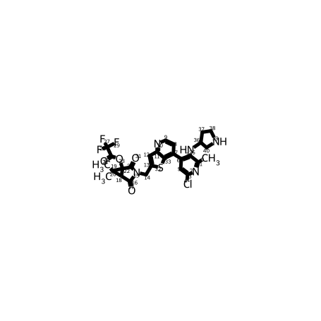 Cc1nc(Cl)cc(-c2ccnc3cc(CN4C(=O)C5C(C)(C)C5(OC(=O)C(F)(F)F)C4=O)sc23)c1NC1CCNC1